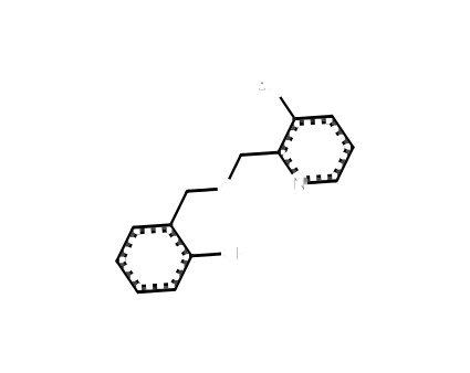 [CH2]C(=O)c1cccnc1CSCc1ccccc1C(F)(F)F